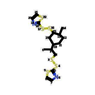 CC(CSSc1nccs1)C1CCC(C)C(SSc2nccs2)C1